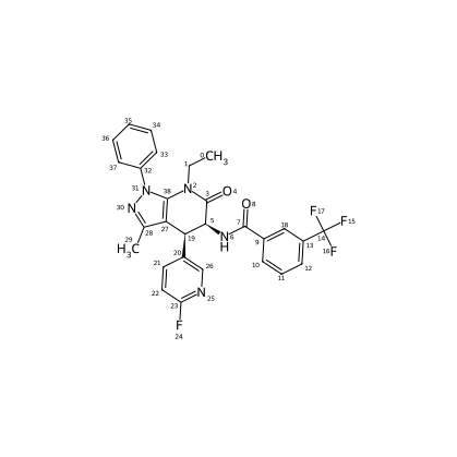 CCN1C(=O)[C@@H](NC(=O)c2cccc(C(F)(F)F)c2)[C@@H](c2ccc(F)nc2)c2c(C)nn(-c3ccccc3)c21